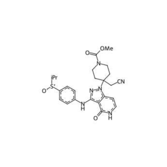 COC(=O)N1CCC(CC#N)(n2nc(Nc3ccc([S+]([O-])C(C)C)cc3)c3c(=O)[nH]ccc32)CC1